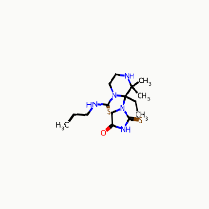 CCCNC(=S)N1CCNC(C)(C)C1(CC)N1CC(=O)NC1=S